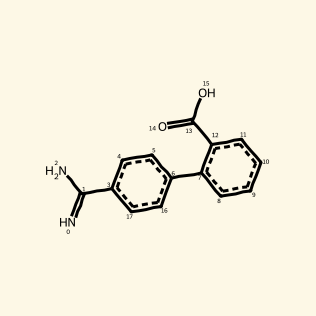 N=C(N)c1ccc(-c2ccccc2C(=O)O)cc1